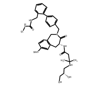 CCNC(=O)NCc1ccccc1-c1ccc(CN2Cc3ccc(SC)cc3C[C@@H](NC(=O)CC(C)(C)NC[C@H](O)CO)C2=O)cc1